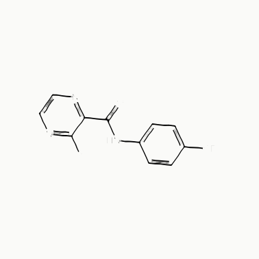 O=C(Nc1ccc(C(F)(F)F)cc1)c1nccnc1Cl